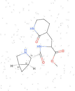 COC(=O)C(CC1CCCNC1=O)NC(=O)[C@H]1NC[C@@H]2C[C@@H]21